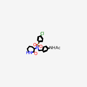 CC(=O)Nc1ccc(CN(C2CCCCNC2=O)S(=O)(=O)c2ccc(Cl)cc2)cc1